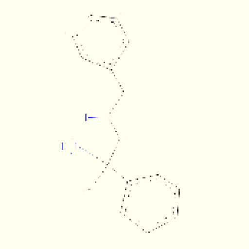 CCC(N)(CC(N)Cc1ccccc1)c1ccccc1